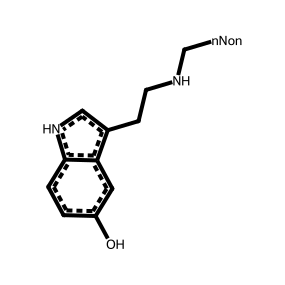 CCCCCCCCCCNCCc1c[nH]c2ccc(O)cc12